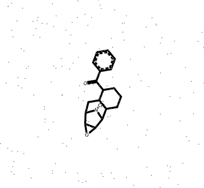 CN1C2CC3C(C(=O)c4ccccc4)CCCC3C1C1OC12